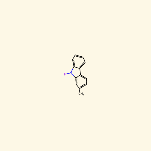 Cc1ccc2c3ccccc3n(I)c2c1